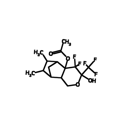 CC(=O)OC12C3CC(C(C)C3C)C1COC(O)(C(F)(F)F)C2(F)F